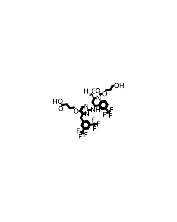 CC[C@@H]1C[C@H](Nc2ncc(OCCCC(=O)O)c(Cc3cc(C(F)(F)F)cc(C(F)(F)F)c3)n2)c2cc(C(F)(F)F)ccc2N1C(=O)OCCCO